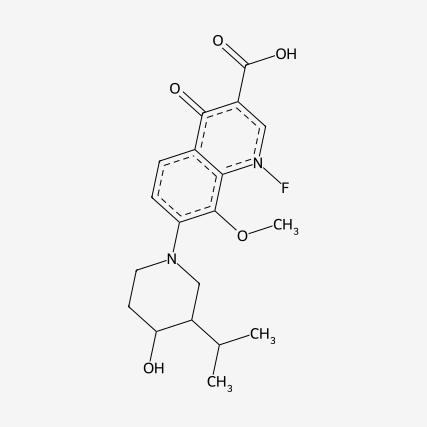 COc1c(N2CCC(O)C(C(C)C)C2)ccc2c(=O)c(C(=O)O)cn(F)c12